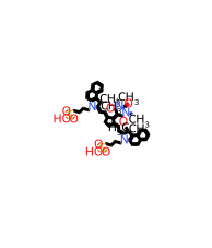 CCN1C(=O)C(=C2/C(=C/C=C3/N(CCCCS(=O)(=O)O)c4ccc5ccccc5c4C3(C)C)CC/C2=C\C=C2\N(CCCCS(=O)(=O)O)c3ccc4ccccc4c3C2(C)C)C(=O)N(CC)C1=O